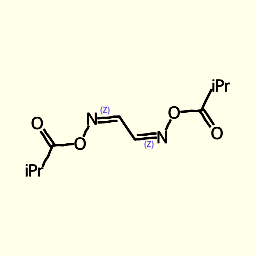 CC(C)C(=O)O/N=C\C=N/OC(=O)C(C)C